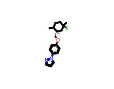 CC1CCC(C)(F)C[C@@H]1COc1ccc(-n2cccn2)cc1